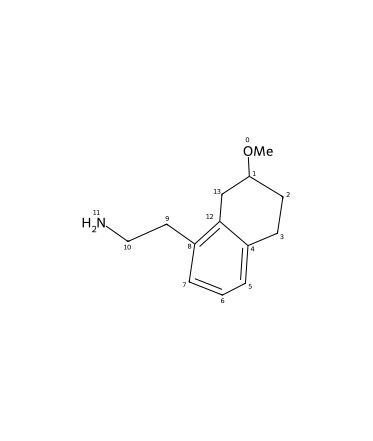 COC1CCc2cccc(CCN)c2C1